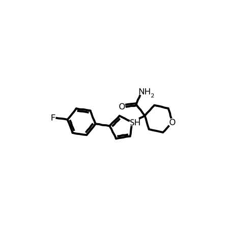 NC(=O)C1([SH]2C=CC(c3ccc(F)cc3)=C2)CCOCC1